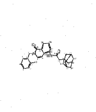 Cc1ccccc1Cn1ccc2c(NC(=O)CC34CC5CC(CC(C5)C3)C4)cccc2c1=O